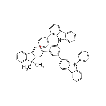 CC1(C)c2ccccc2-c2ccc(-c3cc(-c4ccc5c6ccccc6n(-c6ccccc6)c5c4)cc(-n4c5ccccc5c5cccc(-c6ccccc6)c54)c3)cc21